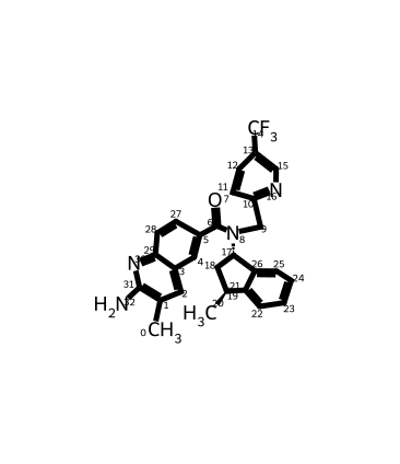 Cc1cc2cc(C(=O)N(Cc3ccc(C(F)(F)F)cn3)[C@H]3C[C@H](C)c4ccccc43)ccc2nc1N